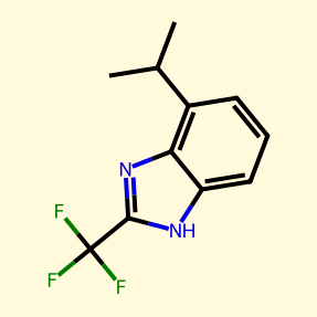 CC(C)c1cccc2[nH]c(C(F)(F)F)nc12